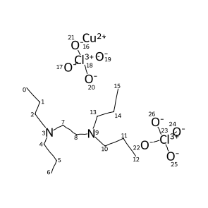 CCCN(CCC)CCN(CCC)CCC.[Cu+2].[O-][Cl+3]([O-])([O-])[O-].[O-][Cl+3]([O-])([O-])[O-]